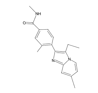 CCc1c(-c2ccc(C(=O)NC)cc2C)nc2cc(C)ccn12